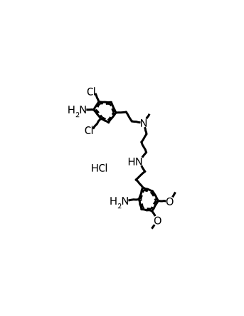 COc1cc(N)c(CCNCCCN(C)CCc2cc(Cl)c(N)c(Cl)c2)cc1OC.Cl